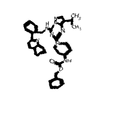 CC(C)c1cnn2c(NCc3ccccc3-c3ccc4ccccc4n3)nc(N3CCC(NC(=O)OCc4ccccc4)CC3)nc12